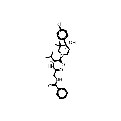 CC(C)[C@@H](NC(=O)CNC(=O)c1ccccc1)C(=O)N1CC[C@](O)(c2ccc(Cl)cc2)C(C)(C)C1